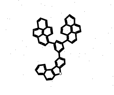 c1ccc2c(c1)ccc1oc3ccc(-c4cc(-c5ccc6ccc7cccc8ccc5c6c78)cc(-c5ccc6ccc7cccc8ccc5c6c78)c4)cc3c12